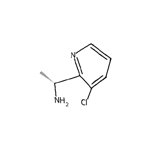 C[C@@H](N)c1ncccc1Cl